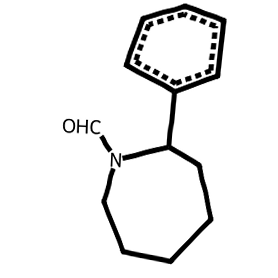 O=CN1CCCCCC1c1ccccc1